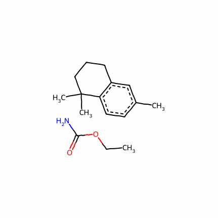 CCOC(N)=O.Cc1ccc2c(c1)CCCC2(C)C